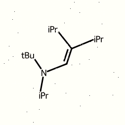 CC(C)C(=CN(C(C)C)C(C)(C)C)C(C)C